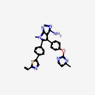 C=Cc1ncc(-c2ccc(-c3c(-c4ccc(Oc5nccc(C)n5)cc4)c4c(N)ncnc4n3C)cc2)s1